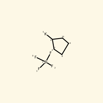 F[B-](F)(F)F.[K][CH]1CCCC1